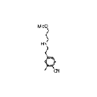 COCCCNCCc1ccc(C#N)c(C)c1